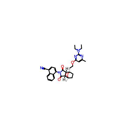 CCN(CC)c1nc(C)cc(OCC[C@]23CC[C@](C)(O2)[C@@H]2C(=O)N(c4ccc(C#N)c5ccccc45)C(=O)[C@@H]23)n1